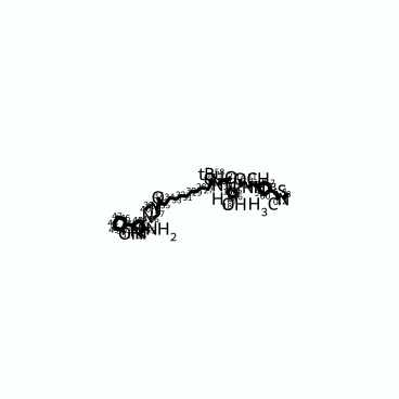 Cc1ncsc1-c1ccc([C@@H](C)NC(=O)[C@H]2C[C@H](O)CN2C(=O)[C@H](NC(=O)CCCCCCCCCC(=O)N2CCN(c3cc(-c4ccccc4O)nnc3N)CC2)C(C)(C)C)cc1